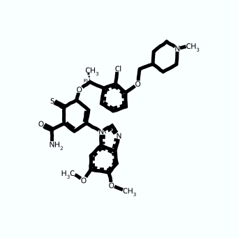 COc1cc2ncn(C3=CC(O[C@H](C)c4cccc(OCC5CCN(C)CC5)c4Cl)C(=S)C(C(N)=O)=C3)c2cc1OC